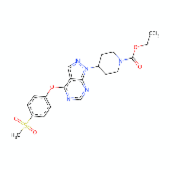 CS(=O)(=O)c1ccc(Oc2ncnc3c2cnn3C2CCN(C(=O)OCC(Cl)(Cl)Cl)CC2)cc1